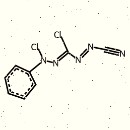 N#CN=NC(Cl)=NN(Cl)c1ccccc1